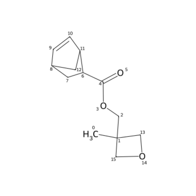 CC1(COC(=O)C2CC3C=CC2C3)COC1